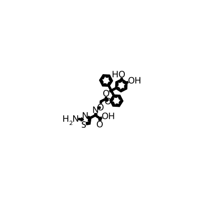 Nc1nc(/C(=N/OCC(=O)OC(c2ccccc2)(c2ccccc2)c2ccc(O)c(O)c2)C(=O)O)cs1